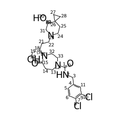 O=C(NCc1ccc(Cl)c(Cl)c1)N1CCC(=O)N([C@H](CO)CCN2CCC3(CC3)[C@H](O)C2)CC1